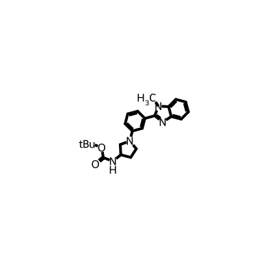 Cn1c(-c2cccc(N3CCC(NC(=O)OC(C)(C)C)C3)c2)nc2ccccc21